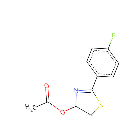 CC(=O)OC1CSC(c2ccc(F)cc2)=N1